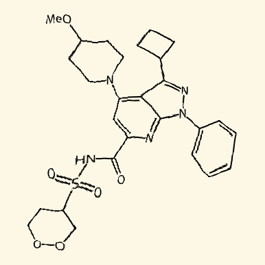 COC1CCN(c2cc(C(=O)NS(=O)(=O)C3CCOOC3)nc3c2c(C2CCC2)nn3-c2ccccc2)CC1